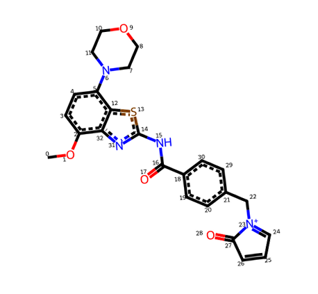 COc1ccc(N2CCOCC2)c2sc(NC(=O)c3ccc(C[N+]4=CC=CC4=O)cc3)nc12